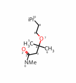 CNC(=O)CC(C)(C)OCCC(C)C